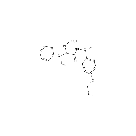 C[C@@H](NC(=O)C(NC(=O)O)[C@@H](c1ccccc1)C(C)(C)C)c1ccc(OCC(F)(F)F)cn1